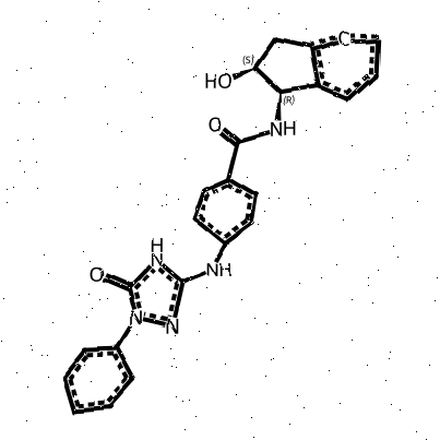 O=C(N[C@@H]1c2ccccc2C[C@@H]1O)c1ccc(Nc2nn(-c3ccccc3)c(=O)[nH]2)cc1